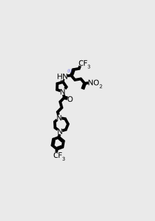 C=C(CC/C(=C\CC(F)(F)F)N[C@@H]1CCN(C(=O)CCCN2CCCN(c3ccc(C(F)(F)F)cc3)CC2)C1)[N+](=O)[O-]